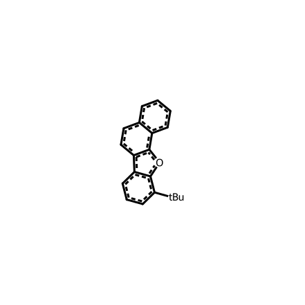 CC(C)(C)c1cccc2c1oc1c3ccccc3ccc21